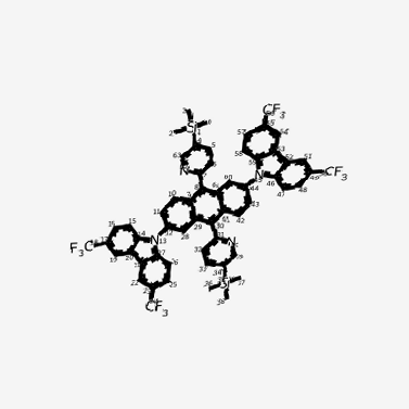 C[Si](C)(C)c1ccc(-c2c3ccc(-n4c5ccc(C(F)(F)F)cc5c5cc(C(F)(F)F)ccc54)cc3c(-c3ccc([Si](C)(C)C)cn3)c3ccc(-n4c5ccc(C(F)(F)F)cc5c5cc(C(F)(F)F)ccc54)cc23)nc1